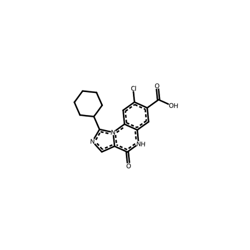 O=C(O)c1cc2[nH]c(=O)c3cnc(C4CCCCC4)n3c2cc1Cl